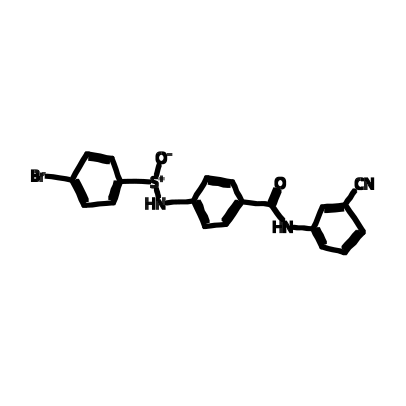 N#Cc1cccc(NC(=O)c2ccc(N[S+]([O-])c3ccc(Br)cc3)cc2)c1